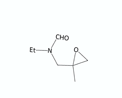 CCN(C=O)CC1(C)CO1